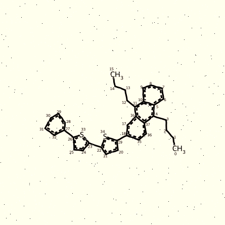 CCCCc1c2ccccc2c(CCCC)c2cc(-c3ccc(-c4ccc(-c5ccccc5)s4)s3)ccc12